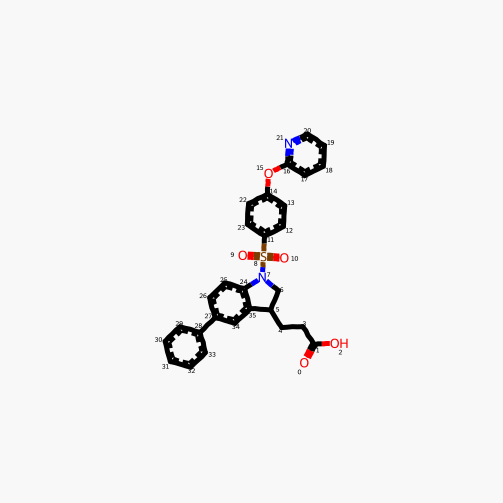 O=C(O)CCC1CN(S(=O)(=O)c2ccc(Oc3ccccn3)cc2)c2ccc(-c3ccccc3)cc21